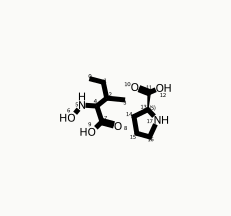 CCC(C)C(NO)C(=O)O.O=C(O)[C@@H]1CCCN1